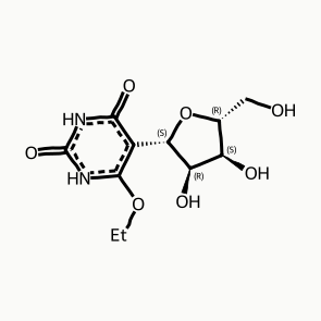 CCOc1[nH]c(=O)[nH]c(=O)c1[C@@H]1O[C@H](CO)[C@@H](O)[C@H]1O